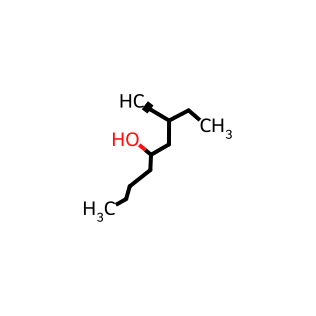 C#CC(CC)CC(O)CCCC